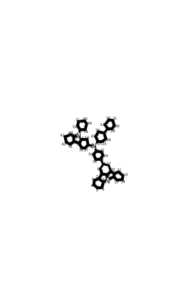 C1=c2c3ccccc3n3c2c(c2ccccc23)CC1c1ccc(N(c2ccc(-c3ccccc3)cc2)c2ccc3c4ccccc4n(-c4ccccc4)c3c2)cc1